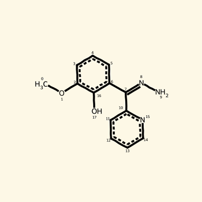 COc1cccc(C(=NN)c2ccccn2)c1O